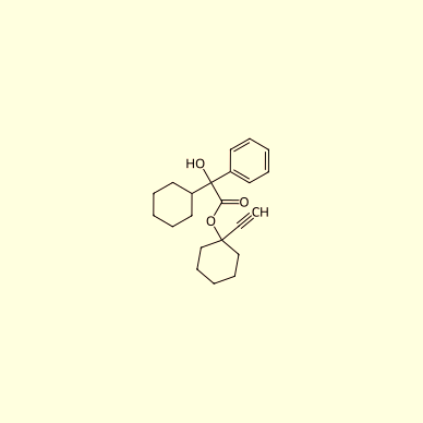 C#CC1(OC(=O)C(O)(c2ccccc2)C2CCCCC2)CCCCC1